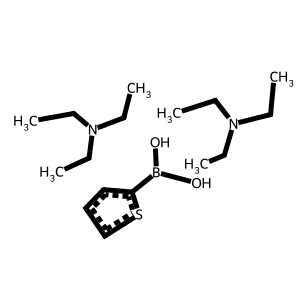 CCN(CC)CC.CCN(CC)CC.OB(O)c1cccs1